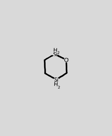 C1C[SiH2]OC[SiH2]1